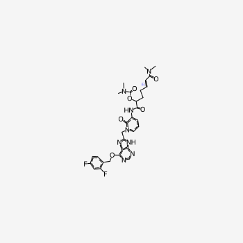 CN(C)C(=O)/C=C/CCC(OC(=O)N(C)C)C(=O)Nc1cccn(Cc2nc3c(OCc4ccc(F)cc4F)ncnc3[nH]2)c1=O